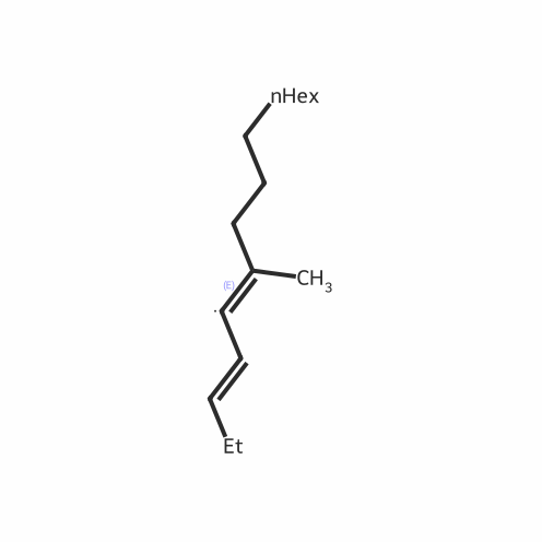 CCC=C/[C]=C(\C)CCCCCCCCC